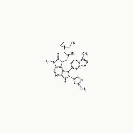 CCN(CC1C(=O)N(C)c2cnc3[nH]c(-c4cnn(C)c4)c(-c4ccc5c(cnn5C)c4)c3c21)CC1(CC#N)CC1